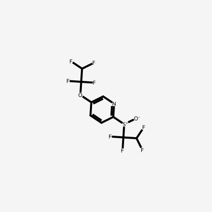 [O-][S+](c1ccc(OC(F)(F)C(F)F)cn1)C(F)(F)C(F)F